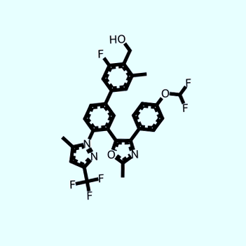 Cc1nc(-c2ccc(OC(F)F)cc2)c(-c2cc(-c3cc(C)c(CO)c(F)c3)ccc2-n2nc(C(F)(F)F)cc2C)o1